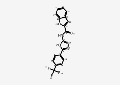 O=C(Nc1nnc(-c2ccc(C(F)(F)F)cc2)o1)c1cc2ccccc2o1